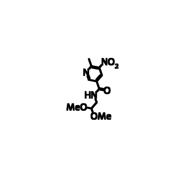 COC(CNC(=O)c1cnc(C)c([N+](=O)[O-])c1)OC